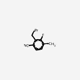 Cc1ccc(C#N)c(CC(C)C)c1F